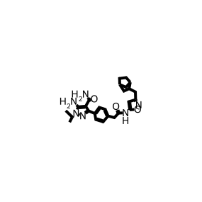 CC(C)n1nc(-c2ccc(CC(=O)Nc3cc(CC4CC5CCC4C5)no3)cc2)c(C(N)=O)c1N